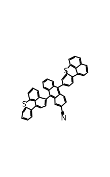 N#Cc1ccc2c(-c3ccc4c(c3)Sc3cccc5cccc-4c35)c3ccccc3c(-c3ccc4c5c(cccc35)Sc3ccccc3-4)c2c1